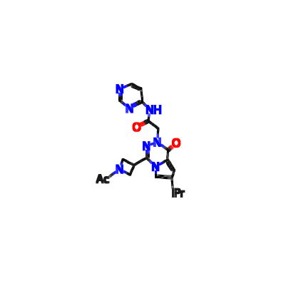 CC(=O)N1CC(c2nn(CC(=O)Nc3ccncn3)c(=O)c3cc(C(C)C)cn23)C1